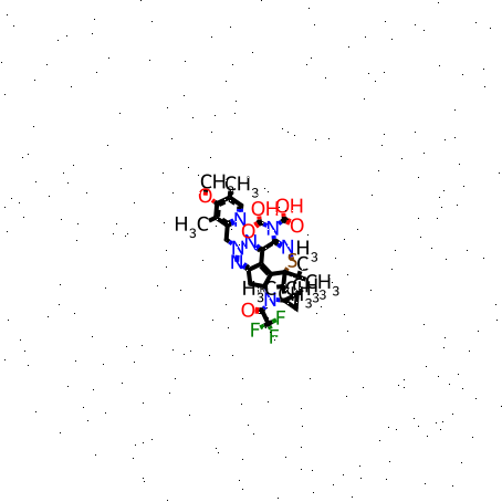 COc1c(C)cnc(CN2N=C3C[C@@H](N(C(=O)C(F)(F)F)C4CC4)C4=C3C(=N2)C(N(C(=O)O)C(=O)O)=NSC4(C(C)(C)C)C(C)(C)C)c1C